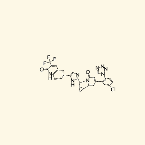 O=c1[nH]c2ccc(-c3cnc(C4C5CC5c5cc(-c6cc(Cl)ccc6-n6cnnn6)cc(=O)n54)[nH]3)cc2cc1C(F)(F)F